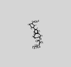 CCCCCCNC(=O)OC1CCc2cc(C3CCC(CO)C3)ccc2C1